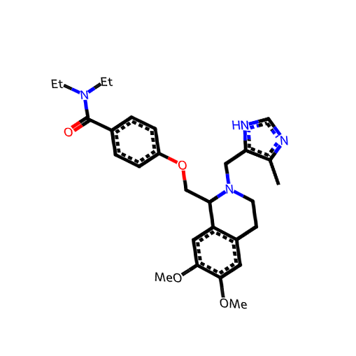 CCN(CC)C(=O)c1ccc(OCC2c3cc(OC)c(OC)cc3CCN2Cc2[nH]cnc2C)cc1